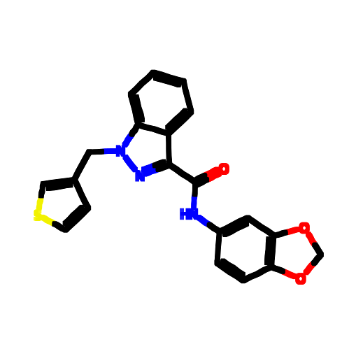 O=C(Nc1ccc2c(c1)OCO2)c1nn(Cc2ccsc2)c2ccccc12